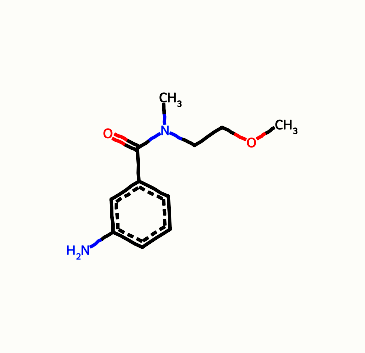 COCCN(C)C(=O)c1cccc(N)c1